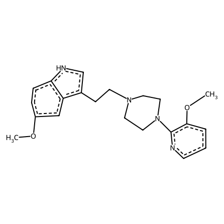 COc1ccc2[nH]cc(CCN3CCN(c4ncccc4OC)CC3)c2c1